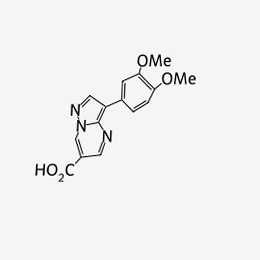 COc1ccc(-c2cnn3cc(C(=O)O)cnc23)cc1OC